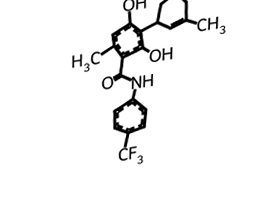 CC1=CC(c2c(O)cc(C)c(C(=O)Nc3ccc(C(F)(F)F)cc3)c2O)CCC1